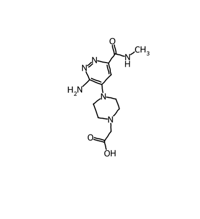 CNC(=O)c1cc(N2CCN(CC(=O)O)CC2)c(N)nn1